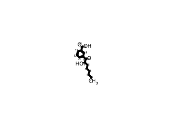 CCCCCCC(O)C(=O)c1cccc(C(=O)O)c1